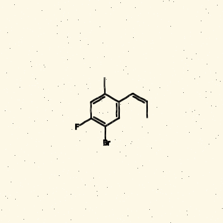 C/C=C\c1cc(Br)c(F)cc1C